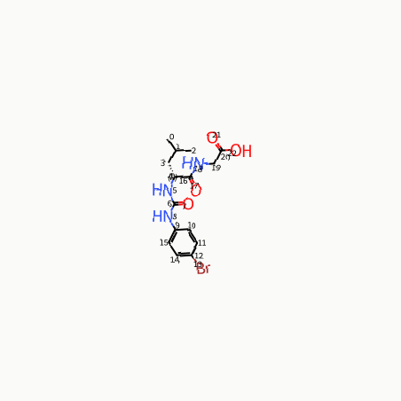 CC(C)C[C@@H](NC(=O)Nc1ccc(Br)cc1)C(=O)NCC(=O)O